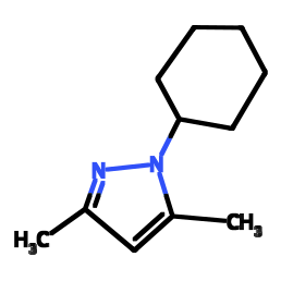 Cc1cc(C)n(C2CCCCC2)n1